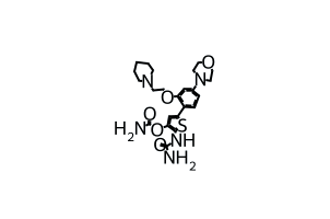 NC(=O)Nc1sc(-c2ccc(N3CCOCC3)cc2OCCN2CCCCC2)cc1OC(N)=O